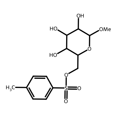 COC1OC(COS(=O)(=O)c2ccc(C)cc2)C(O)C(O)C1O